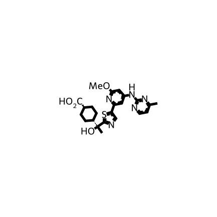 COc1cc(Nc2nccc(C)n2)cc(-c2cnc(C(C)(O)[C@H]3CC[C@H](C(=O)O)CC3)s2)n1